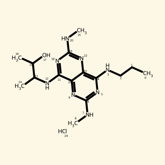 CCCNc1nc(NC)nc2c(NC(C)C(C)O)nc(NC)nc12.Cl